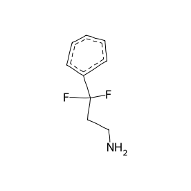 NCCC(F)(F)c1ccccc1